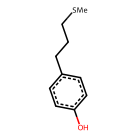 CSCCCc1ccc(O)cc1